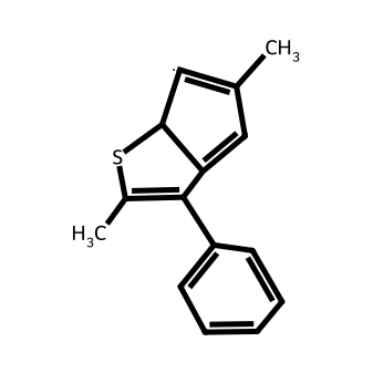 CC1=[C]C2SC(C)=C(c3ccccc3)C2=C1